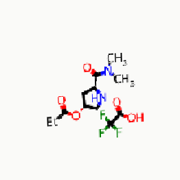 CCC(=O)O[C@H]1CN[C@H](C(=O)N(C)C)C1.O=C(O)C(F)(F)F